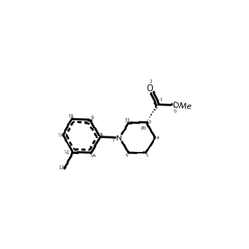 COC(=O)[C@@H]1CCCN(c2cccc(C)c2)C1